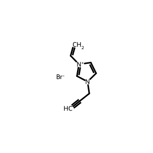 C#CCn1cc[n+](C=C)c1.[Br-]